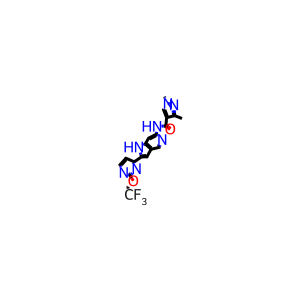 Cc1nn(C)cc1C(=O)Nc1cc2[nH]c(-c3ccnc(OCC(F)(F)F)n3)cc2cn1